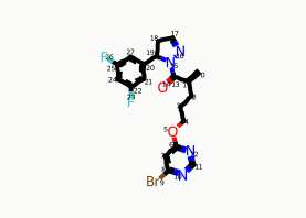 C=C(CCCOc1cc(Br)ncn1)C(=O)N1N=CCC1c1cc(F)cc(F)c1